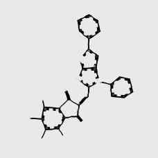 O=C1C(=Cc2nc3oc(-c4ccccc4)cc3n2-c2ccccc2)C(=O)c2c(Cl)c(Cl)c(Cl)c(Cl)c21